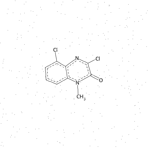 Cn1c(=O)c(Cl)nc2c(Cl)cccc21